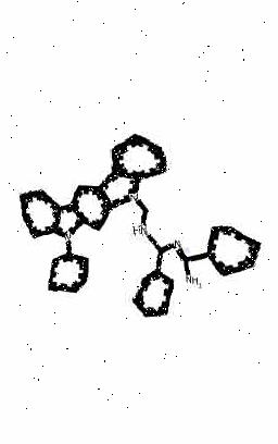 N/C(=N\C(NCn1c2ccccc2c2cc3c4ccccc4n(-c4ccccc4)c3cc21)c1ccccc1)c1ccccc1